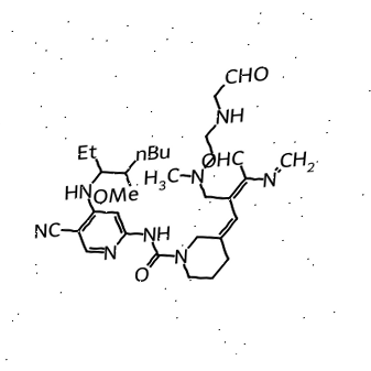 C=N/C(C=O)=C(\C=C1\CCCN(C(=O)Nc2cc(NC(CC)C(CCCC)OC)c(C#N)cn2)C1)CN(C)CCNCC=O